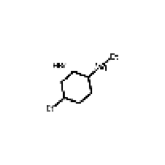 Br.C[CH2][Mg][CH]1CCC(CC)CC1